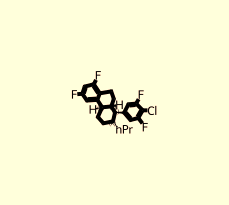 CCC[C@@H]1CC[C@H]2c3cc(F)cc(F)c3CC[C@@H]2[C@H]1c1cc(F)c(Cl)c(F)c1